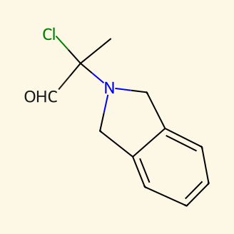 CC(Cl)(C=O)N1Cc2ccccc2C1